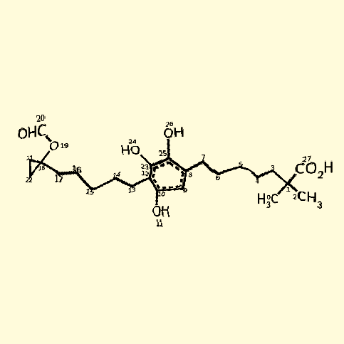 CC(C)(CCCCCc1cc(O)c(CCCCCC2(OC=O)CC2)c(O)c1O)C(=O)O